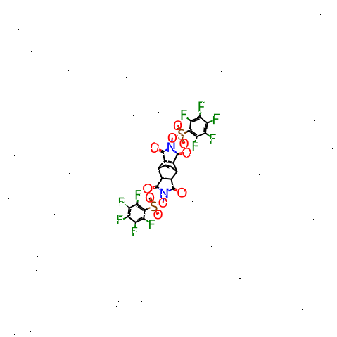 O=C1C2C3C=CC(C2C(=O)N1OS(=O)(=O)c1c(F)c(F)c(F)c(F)c1F)C1C(=O)N(OS(=O)(=O)c2c(F)c(F)c(F)c(F)c2F)C(=O)C31